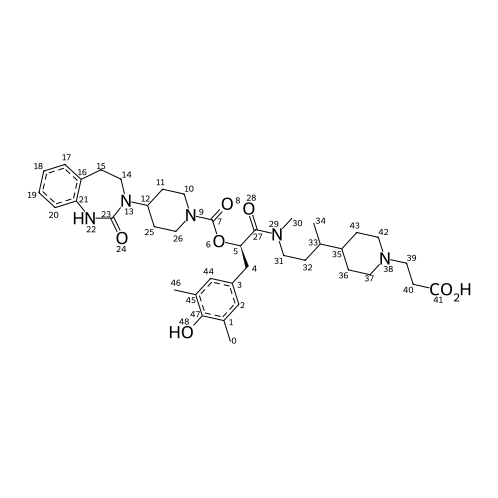 Cc1cc(C[C@@H](OC(=O)N2CCC(N3CCc4ccccc4NC3=O)CC2)C(=O)N(C)CCC(C)C2CCN(CCC(=O)O)CC2)cc(C)c1O